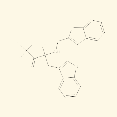 CC(C)(C)C(=O)C(C)(Cc1c[nH]c2ccccc12)NCc1cc2ccccc2o1